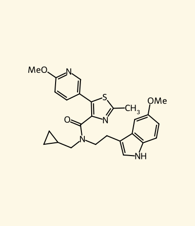 COc1ccc2[nH]cc(CCN(CC3CC3)C(=O)c3nc(C)sc3-c3ccc(OC)nc3)c2c1